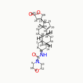 C[C@]12CC[C@H](NC(=O)N3CCOCC3)C[C@H]1CC[C@H]1C3=CC[C@H](C4=CC(=O)OC4)[C@@]3(C)CC[C@@H]12